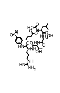 CCCC(=O)ON(C(=O)O)[C@@H](CC(C)C)C(=O)N[C@@H](CO)C(=O)N[C@H](C(=O)N[C@@H](CCCNC(=N)N)C(=O)Nc1ccc([N+](=O)[O-])cc1)[C@@H](C)O